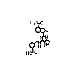 CC1Cc2c(C(N)=O)cccc2C1c1nc2c(c(NCc3cccc(B(O)O)c3)n1)N(C)CC2